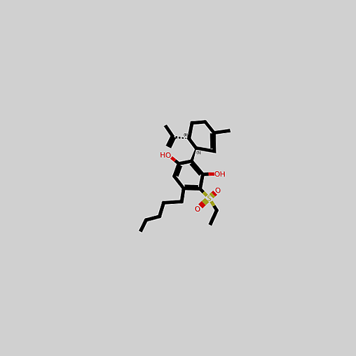 C=C(C)[C@@H]1CCC(C)=C[C@H]1c1c(O)cc(CCCCC)c(S(=O)(=O)CC)c1O